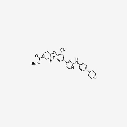 CC(C)(C)OC(=O)N1CCC(Oc2ccc(-c3ccnc(Nc4ccc(N5CCOCC5)cc4)n3)cc2C#N)C(F)(F)C1